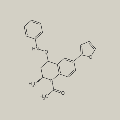 CC(=O)N1c2ccc(-c3ccco3)cc2C(ONc2ccccc2)C[C@@H]1C